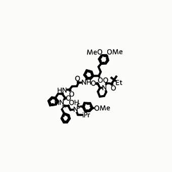 CCC(C)(C)C(=O)C(=O)N1CCCCC1C(=O)OC(CCc1ccc(OC)c(OC)c1)c1cccc(NC(=O)CCC(=O)NC(Cc2ccccc2)C(=O)N[C@H](Cc2ccccc2)C(O)CN(CC(C)C)Sc2ccc(OC)cc2)c1